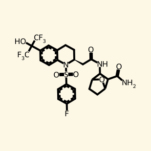 NC(=O)C1C2CCC(O2)C1NC(=O)C[C@@H]1CCc2cc(C(O)(C(F)(F)F)C(F)(F)F)ccc2N1S(=O)(=O)c1ccc(F)cc1